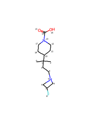 CC(C)(CCN1CC(F)C1)C1CCN(C(=O)O)CC1